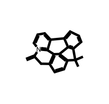 C=C1Cc2ccc3c4c5c(cccc5c5ccc[n+]1c5c24)C3(C)C